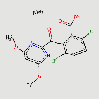 COc1cc(OC)nc(C(=O)c2c(Cl)ccc(Cl)c2C(=O)O)n1.[NaH]